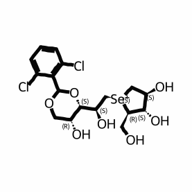 OC[C@@H]1[C@@H](O)[C@H](O)C[Se@+]1C[C@@H](O)[C@H]1OC(c2c(Cl)cccc2Cl)OC[C@H]1O